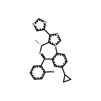 C[C@H]1N=C(c2ccccc2Br)c2cc(C3CC3)ccc2-n2cnc(-c3cnco3)c21